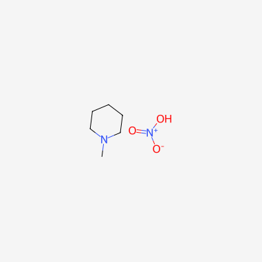 CN1CCCCC1.O=[N+]([O-])O